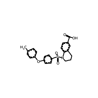 Cc1ccc(Oc2ccc(S(=O)(=O)N3CCCc4cc(C(=O)O)ccc43)cc2)cc1